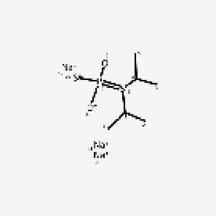 CC(C)S(C(C)C)=P([O-])([O-])[S-].[Na+].[Na+].[Na+]